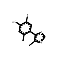 Cc1cc(C#N)c(F)cc1-c1scnc1C